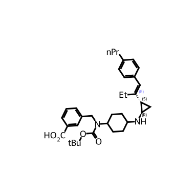 CCCc1ccc(/C=C(\CC)[C@@H]2C[C@H]2NC2CCC(N(Cc3cccc(C(=O)O)c3)C(=O)OC(C)(C)C)CC2)cc1